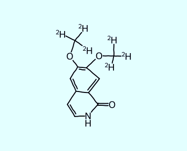 [2H]C([2H])([2H])Oc1cc2cc[nH]c(=O)c2cc1OC([2H])([2H])[2H]